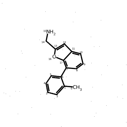 Cc1ccccc1-c1cccc2cc(CN)oc12